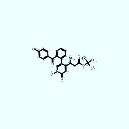 Cn1cc(-c2ccccc2C(=O)c2ccc(Cl)cc2)c(C(N)CC(=O)OC(C)(C)C)cc1=O